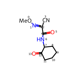 CON=C(C#N)C(=O)NC1CCCCC1=O